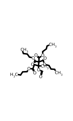 CCCCOC(=O)CC(C)(O[C]=O)C(C(=O)OCCCC)(C(=O)OCCCC)C(=O)OCCCC